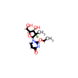 CCOc1nc(=O)ccn1[C@@H]1OC(CO)[C@H](O)C1(C)F